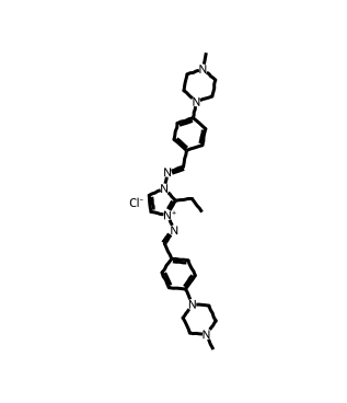 CCc1n(N=Cc2ccc(N3CCN(C)CC3)cc2)cc[n+]1N=Cc1ccc(N2CCN(C)CC2)cc1.[Cl-]